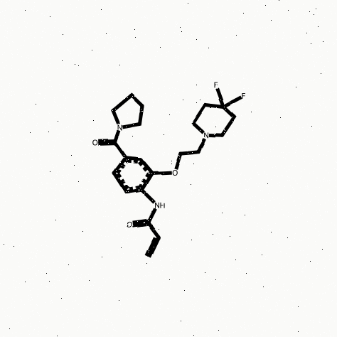 C=CC(=O)Nc1ccc(C(=O)N2CCCC2)cc1OCCN1CCC(F)(F)CC1